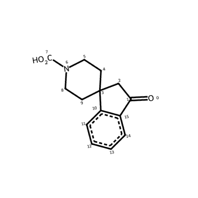 O=C1CC2(CCN(C(=O)O)CC2)c2ccccc21